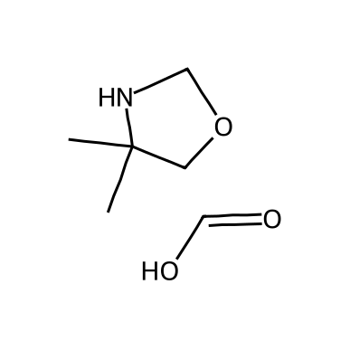 CC1(C)COCN1.O=CO